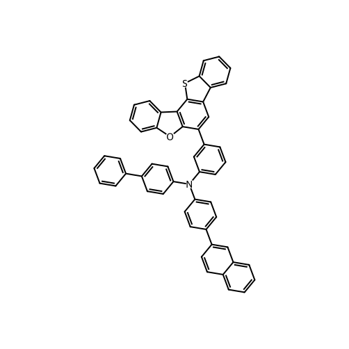 c1ccc(-c2ccc(N(c3ccc(-c4ccc5ccccc5c4)cc3)c3cccc(-c4cc5c6ccccc6sc5c5c4oc4ccccc45)c3)cc2)cc1